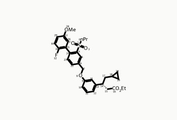 CCCS(=O)(=O)c1cc(COc2cccc([C@@H](CC(=O)OCC)CC3CC3)c2)ccc1-c1cc(OC)ccc1F